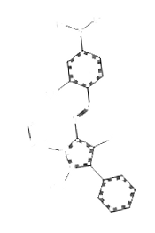 CCN(CC)c1ccc(N=Nc2c(Cl)c(-c3ccccc3)n(C)[n+]2C)c(C)c1.[Cl][Zn-]